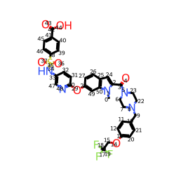 Cn1c(C(=O)N2CCN(Cc3ccc(OCC(F)(F)F)cc3)CC2)cc2ccc(Oc3ccc(NS(=O)(=O)c4ccc(C(=O)O)cc4)cn3)cc21